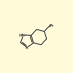 CC(C)C1CCc2nc[nH]c2C1